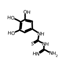 N=C(N)NC(=S)Nc1cc(O)c(O)c(O)c1